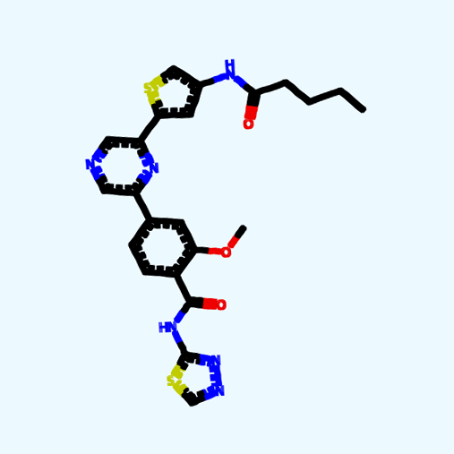 CCCCC(=O)Nc1csc(-c2cncc(-c3ccc(C(=O)Nc4nncs4)c(OC)c3)n2)c1